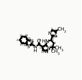 Cc1cnc(C2CC(C)(C)n3ncc(C(=O)Nc4nc5ccccc5s4)c3N2)s1